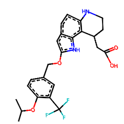 CC(C)Oc1ccc(COc2cc3ccc4c(c3[nH]2)C(CC(=O)O)CCN4)cc1C(F)(F)F